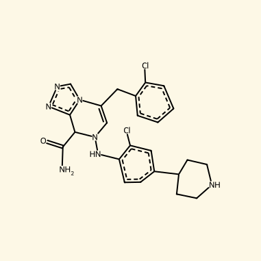 NC(=O)C1c2nncn2C(Cc2ccccc2Cl)=CN1Nc1ccc(C2CCNCC2)cc1Cl